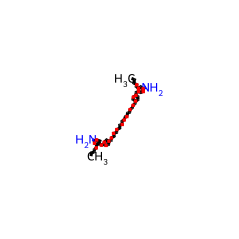 CCCCCc1cc(N)ccc1Cc1ccc(CCCCCCCCCCCCCCCCCCCc2ccc(Cc3ccc(N)cc3CCCCC)cc2)cc1